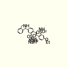 CCOc1ccc(C=Cc2ccc(C3NCc4ccccc43)cc2S(N)(=O)=O)c(S(N)(=O)=O)c1.[NaH].[NaH]